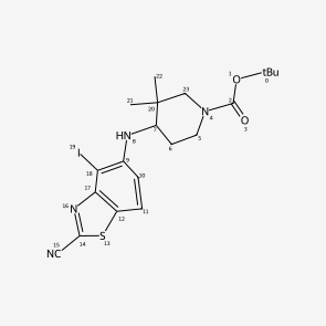 CC(C)(C)OC(=O)N1CCC(Nc2ccc3sc(C#N)nc3c2I)C(C)(C)C1